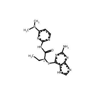 CC[C@H](Sc1nc(N)nc2nc[nH]c12)C(=O)Nc1nccc(N(C)C)n1